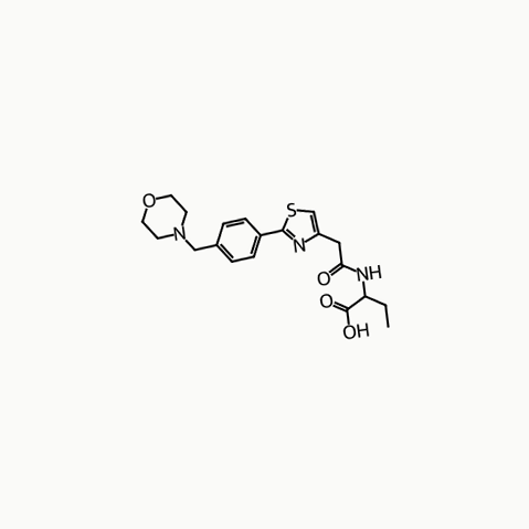 CCC(NC(=O)Cc1csc(-c2ccc(CN3CCOCC3)cc2)n1)C(=O)O